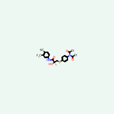 CCC(=O)N(C(=O)CC)c1ccc(SC[C@@](C)(O)C(=O)Nc2ccc(C#N)c(C(F)(F)F)c2)cc1